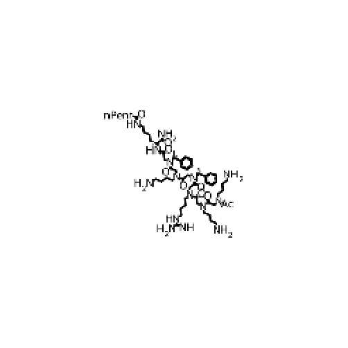 CCCCCC(=O)NCCCC[C@H](NC(=O)CN(C(=O)CN(CCCCN)C(=O)CN(C(=O)CN(CCCCNC(=N)N)C(=O)CN(CCCCN)C(=O)CN(CCCCN)C(C)=O)[C@@H](C)c1ccccc1)[C@@H](C)c1ccccc1)C(N)=O